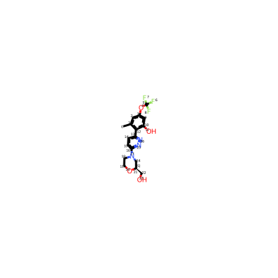 Cc1cc(OC(F)(F)F)cc(O)c1-c1ccc(N2CCO[C@H](CO)C2)nn1